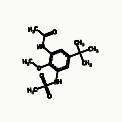 COc1c(NC(C)=O)cc(C(C)(C)C)cc1NS(C)(=O)=O